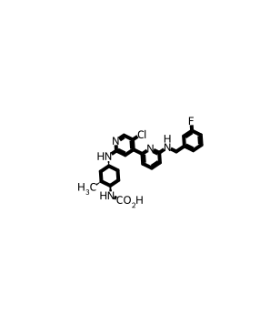 C[C@@H]1C[C@H](Nc2cc(-c3cccc(NCc4cccc(F)c4)n3)c(Cl)cn2)CC[C@H]1NC(=O)O